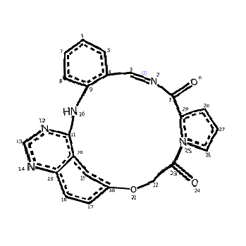 O=C1/N=C\c2ccccc2Nc2ncnc3ccc(cc23)OCC(=O)n2cccc21